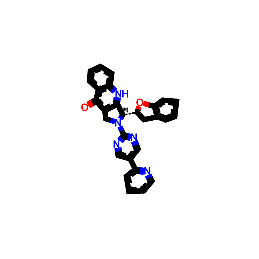 O=c1c2c([nH]c3ccccc13)[C@H](C1Cc3ccccc3O1)N(c1ncc(-c3ccccn3)cn1)C2